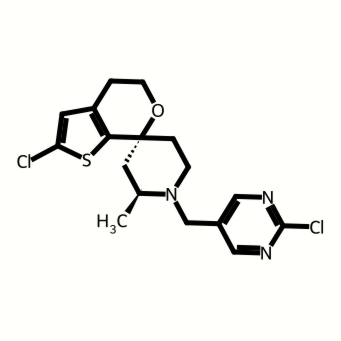 C[C@H]1C[C@@]2(CCN1Cc1cnc(Cl)nc1)OCCc1cc(Cl)sc12